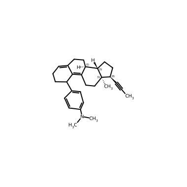 CC#C[C@@H]1CC[C@H]2[C@@H]3CCC4=CCCC(c5ccc(N(C)C)cc5)C4=C3CC[C@]12C